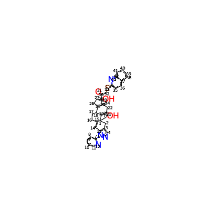 CC12Cc3cnn(-c4ccccn4)c3C=C1CCC1C2[C@@H](O)CC2(C)C1CC[C@]2(O)C(=O)CSc1ccc2ccccc2n1